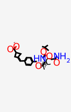 COC(=O)C1CC(=Cc2ccc(CO[C@H](C)[C@H](CCC(N)=O)NC(=O)OC(C)(C)C)cc2)C1